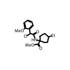 CCC1CCC(NC(=O)C(Cl)c2ccccc2OC)(C(=O)OC)CC1